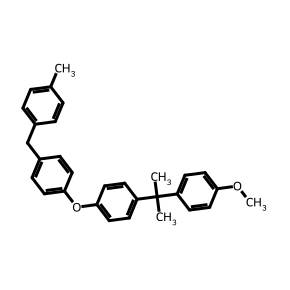 COc1ccc(C(C)(C)c2ccc(Oc3ccc(Cc4ccc(C)cc4)cc3)cc2)cc1